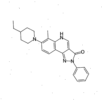 CCC1CCN(c2ccc3c4nn(-c5ccccc5)c(=O)c-4c[nH]c3c2C)CC1